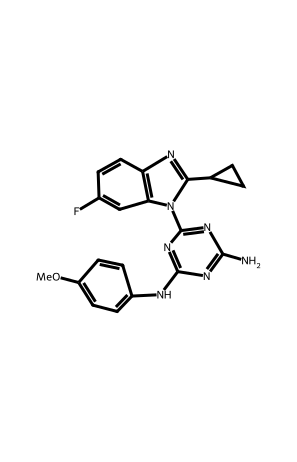 COc1ccc(Nc2nc(N)nc(-n3c(C4CC4)nc4ccc(F)cc43)n2)cc1